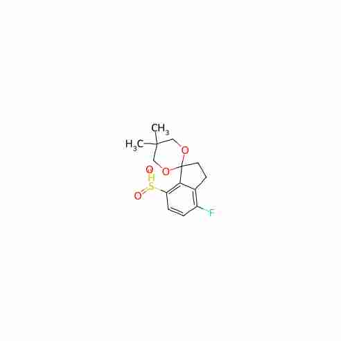 CC1(C)COC2(CCc3c(F)ccc([SH](=O)=O)c32)OC1